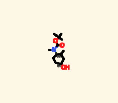 CC1C[C@@H](O)CC[C@@H]1N(C)C(=O)OC(C)(C)C